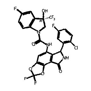 O=C1NC(c2cc(F)ccc2Cl)c2c(NC(=O)N3C[C@@](O)(C(F)(F)F)c4cc(F)ccc43)cc3c(c21)OC(F)(F)O3